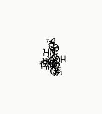 C[C@@H](NC(=O)OC(C)(C)C)C(CC1(CNC(=O)OC(C)(C)C)CCC1)C(=O)O